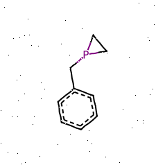 c1ccc(CP2CC2)cc1